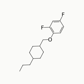 CCCC1CCC(COc2ccc(F)cc2F)CC1